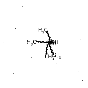 CCCCCCC[CH2][Sn]([OH])([OH])[O][Sn]([CH2]CCCCCCC)([CH2]CCCCCCC)[CH2]CCCCCCC